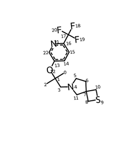 CC(C)(CN1CCC2(CSC2)C1)Oc1ccc(C(F)(F)F)nc1